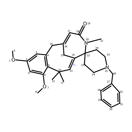 COc1cc2c(c(OC)c1)C(C)(C)/C=C1\CC(=CC(=O)N(C)C13CCN(Cc1ccccc1)CC3)C2